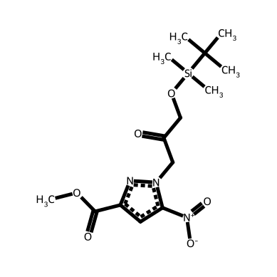 COC(=O)c1cc([N+](=O)[O-])n(CC(=O)CO[Si](C)(C)C(C)(C)C)n1